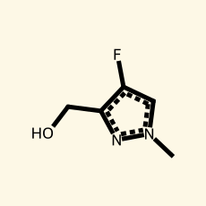 Cn1cc(F)c(CO)n1